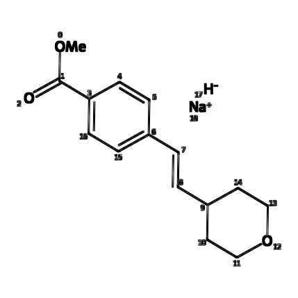 COC(=O)c1ccc(C=CC2CCOCC2)cc1.[H-].[Na+]